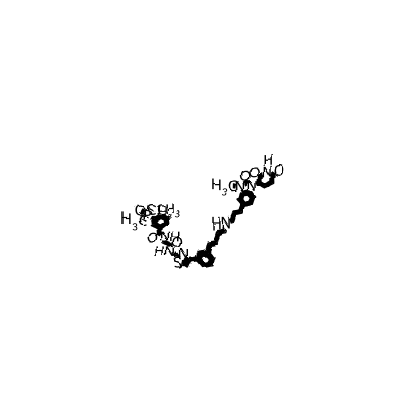 Cc1ccc(C(=O)NCC(=O)Nc2nc(-c3cccc(CCCCNCCCc4ccc5c(c4)n(C)c(=O)n5C4CCC(=O)NC4=O)c3)cs2)cc1P(C)(C)=O